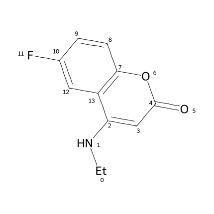 [CH2]CNc1cc(=O)oc2ccc(F)cc12